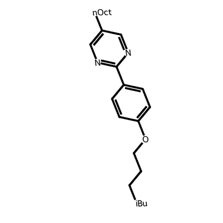 CCCCCCCCc1cnc(-c2ccc(OCCCC(C)CC)cc2)nc1